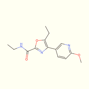 CCNC(=O)c1nc(-c2ccc(OC)nc2)c(CC)o1